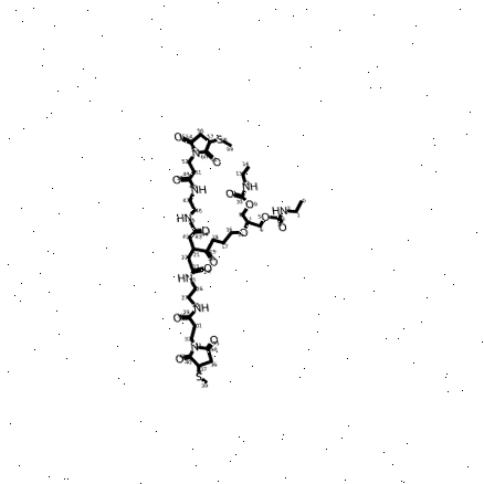 CCNC(=O)OCC(COC(=O)NCC)OCCCC(=O)C(CC(=O)NCCNC(=O)CCN1C(=O)CC(SC)C1=O)CC(=O)NCCNC(=O)CCN1C(=O)CC(SC)C1=O